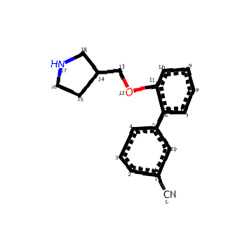 N#Cc1cccc(-c2ccccc2OCC2CCNC2)c1